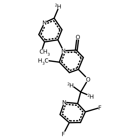 [2H]c1cc(-n2c(C)cc(OC([2H])([2H])c3ncc(F)cc3F)cc2=O)c(C)cn1